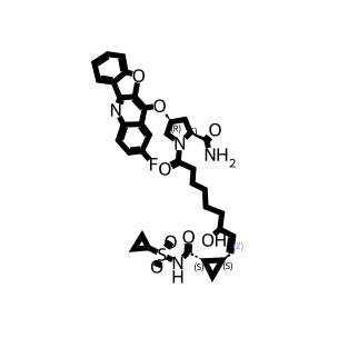 NC(=O)[C@@H]1C[C@@H](Oc2c3cc(F)ccc3nc3c2oc2ccccc23)CN1C(=O)CCCCCC(O)/C=C\[C@@H]1C[C@@H]1C(=O)NS(=O)(=O)C1CC1